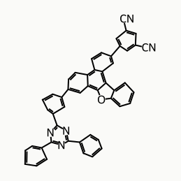 N#Cc1cc(C#N)cc(-c2ccc3c4ccc(-c5cccc(-c6nc(-c7ccccc7)nc(-c7ccccc7)n6)c5)cc4c4oc5ccccc5c4c3c2)c1